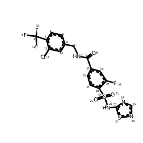 O=C(NCc1ccc(C(F)(F)F)c(Cl)c1)c1ccc(S(=O)(=O)Nc2ncns2)c(F)c1